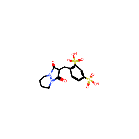 O=C1C(Cc2ccc(S(=O)(=O)O)cc2S(=O)(=O)O)C(=O)N2CCCCN12